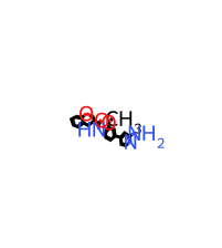 COc1cc(-c2ccnc(N)c2)ccc1NC(=O)C1COc2ccccc2C1